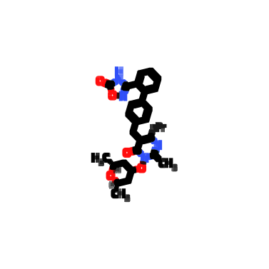 CCCc1nc(C)n(OC2C[C@@H](C)O[C@@H](C)C2)c(=O)c1Cc1ccc(-c2ccccc2-c2noc(=O)[nH]2)cc1